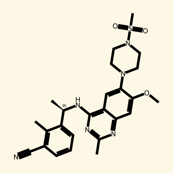 COc1cc2nc(C)nc(N[C@H](C)c3cccc(C#N)c3C)c2cc1N1CCN(S(C)(=O)=O)CC1